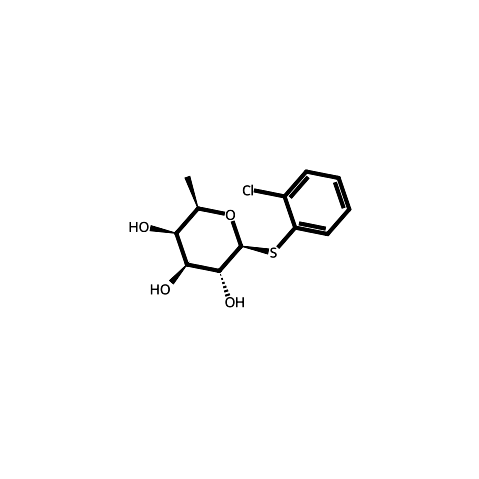 C[C@H]1O[C@@H](Sc2ccccc2Cl)[C@H](O)[C@@H](O)[C@H]1O